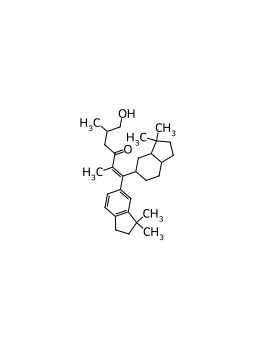 C/C(C(=O)CC(C)CO)=C(\c1ccc2c(c1)C(C)(C)CC2)C1CCC2CCC(C)(C)C2C1